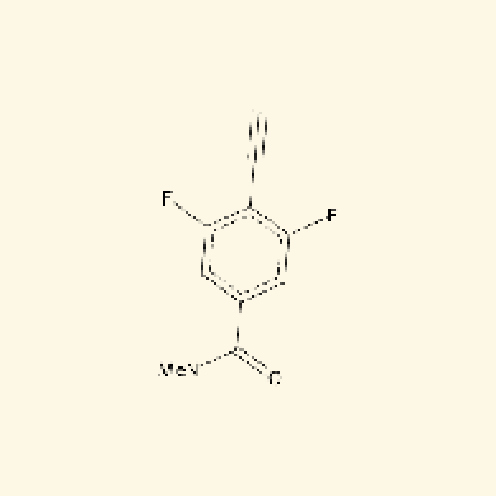 C#Cc1c(F)cc(C(=O)NC)cc1F